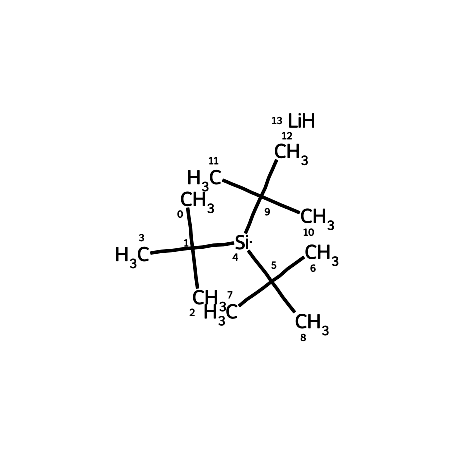 CC(C)(C)[Si](C(C)(C)C)C(C)(C)C.[LiH]